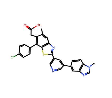 Cc1cc2nc(-c3cncc(-c4ccc5c(c4)ncn5C)c3)sc2c(-c2ccc(Cl)cc2)c1CC(=O)O